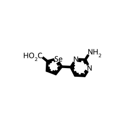 Nc1nccc(-c2ccc(C(=O)O)[se]2)n1